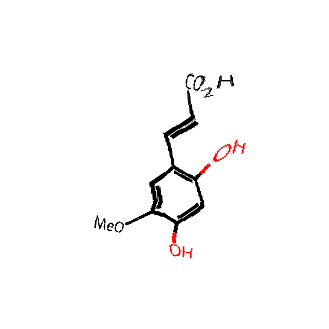 COc1cc(/C=C/C(=O)O)c(O)cc1O